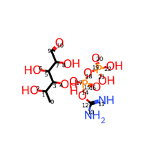 CC(O)C(O)C(O)C(O)C=O.N=C(N)OP(=O)(O)OP(=O)(O)O